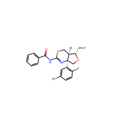 O=C(NC1=N[C@]2(c3cc(Br)ccc3F)CO[C@@H](CF)[C@@H]2CS1)c1ccccc1